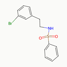 O=S(=O)(NCCc1cccc(Br)c1)c1ccccc1